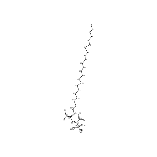 CCCCCCCCCCCCCCCCCCCCCCOc1cc(C)c(S(=O)(=O)O)cc1C(C)C